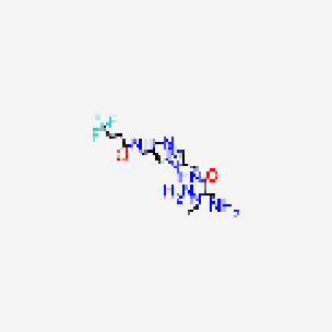 CCN(N)/C(=C\N)C(=O)NCc1cn2ncc(CNC(=O)CCC(F)(F)F)cc2n1